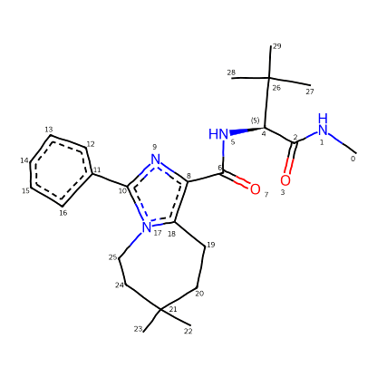 CNC(=O)[C@@H](NC(=O)c1nc(-c2ccccc2)n2c1CCC(C)(C)CC2)C(C)(C)C